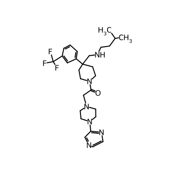 CC(C)CCNCC1(c2cccc(C(F)(F)F)c2)CCN(C(=O)CN2CCN(c3cnccn3)CC2)CC1